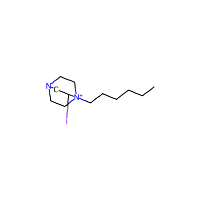 CCCCCC[N+]12CCN(CC1)CC2I